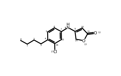 CCCCc1ccc(NC2=CC(=O)OC2)cc1Cl